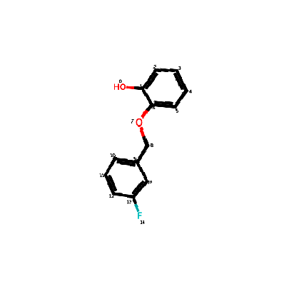 Oc1ccccc1OCc1cccc(F)c1